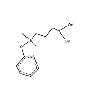 C[Si](C)(CCCC(O)O)Oc1ccccc1